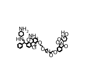 NC(=O)c1ccc(OCCOC2CN(C(=O)COc3ccc4c(c3)C(=O)N(C3CCC(=O)NC3=O)C4=O)C2)c(F)c1-c1cc(C(CNC2CCC(N)CC2)c2ccccc2)ccc1Cl